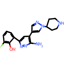 Nc1nnc(-c2cccc(F)c2O)cc1-c1cnn(C2CCNCC2)c1